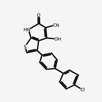 N#Cc1c(O)c2c(-c3ccc(-c4ccc(Cl)cc4)cc3)csc2[nH]c1=O